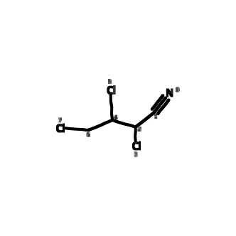 N#CC(Cl)C(Cl)CCl